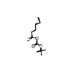 CCCCCC(=O)OC(=O)OC(C)(C)C